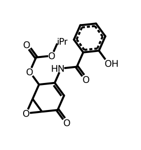 CC(C)OC(=O)OC1C(NC(=O)c2ccccc2O)=CC(=O)C2OC21